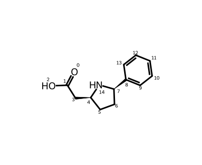 O=C(O)C[C@@H]1CC[C@H](c2ccccc2)N1